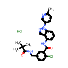 Cc1ccc(-n2ncc3c(NC(=O)c4cc(CNC(=O)C(C)(C)C)ccc4Cl)cccc32)cn1.Cl